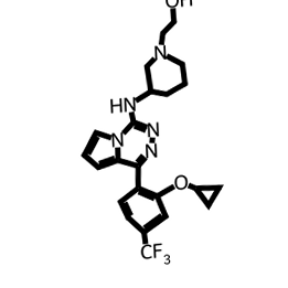 OCCN1CCCC(Nc2nnc(-c3ccc(C(F)(F)F)cc3OC3CC3)c3cccn23)C1